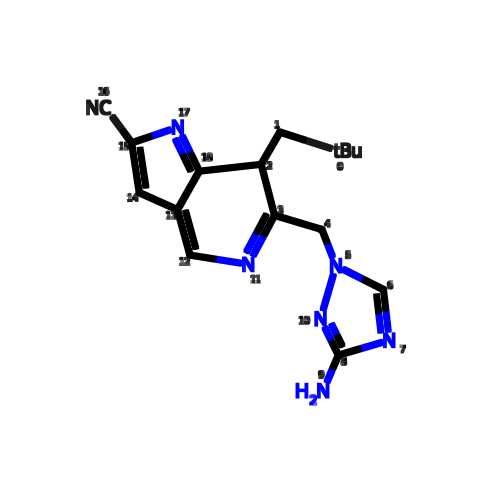 CC(C)(C)CC1C(Cn2cnc(N)n2)=NC=C2C=C(C#N)N=C21